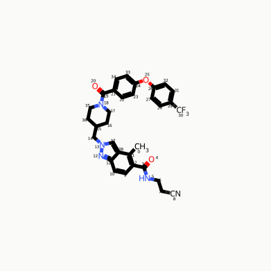 Cc1c(C(=O)NCCC#N)ccc2nn(CC3CCN(C(=O)c4ccc(Oc5ccc(C(F)(F)F)cc5)cc4)CC3)cc12